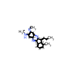 C=C/C=C1/c2nc3cc(N=C)c(NC)cc3nc2-c2cccc(C)c21